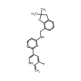 C=C/C(F)=C\C(=C/N)c1nccc(NCc2cccc3c2OC(C)(C)C3)n1